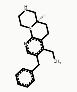 CCc1c(Cc2ccccc2)cnc2c1CC[C@@H]1CNCCN21